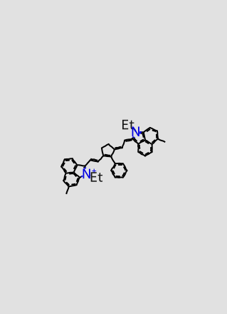 CCn1/c(=C/C=C2\CCC(/C=C/C3=[N+](CC)c4cc(C)cc5cccc3c45)=C2c2ccccc2)c2cccc3c(C)ccc1c32